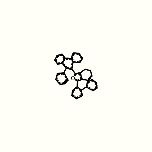 c1cccc(-c2c(-c3oc(-c4ccccc4-c4ccccc4)c4c3CCC=C4)c3ccccc3c3ccccc23)c#1